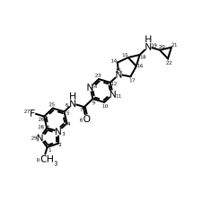 Cc1cn2cc(NC(=O)c3cnc(N4CC5C(C4)C5NC4CC4)cn3)cc(F)c2n1